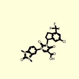 Cn1c(=O)n(C)c2cc(-n3cc(C(=O)O)c(=O)n(C4CCc5c4cc(Cl)cc5C(F)(F)F)c3=O)ccc21